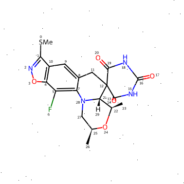 CSc1noc2c(F)c3c(cc12)CC1(C(=O)NC(=O)NC1=O)[C@@H]1[C@@H](C)O[C@@H](C)CN31